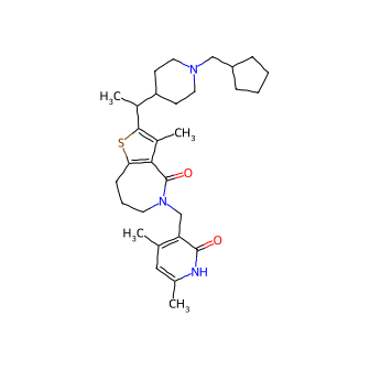 Cc1cc(C)c(CN2CCCc3sc(C(C)C4CCN(CC5CCCC5)CC4)c(C)c3C2=O)c(=O)[nH]1